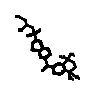 CC1(C)CCC(C)(C)c2cc(C(=O)c3ccc4cc(S(=O)(=O)CC(O)CO)ccc4c3)ccc21